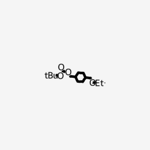 C[CH]OCC1CCC(COC(=O)OC(C)(C)C)CC1